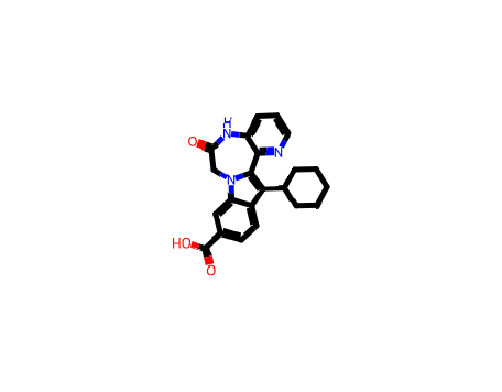 O=C1Cn2c(c(C3CCCCC3)c3ccc(C(=O)O)cc32)-c2ncccc2N1